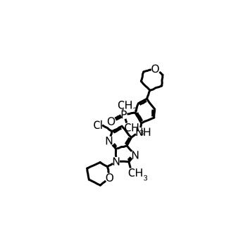 Cc1nc2c(Nc3ccc(C4CCOCC4)cc3P(C)(C)=O)cc(Cl)nc2n1C1CCCCO1